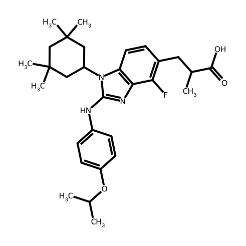 CC(C)Oc1ccc(Nc2nc3c(F)c(CC(C)C(=O)O)ccc3n2C2CC(C)(C)CC(C)(C)C2)cc1